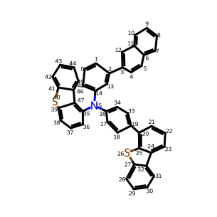 c1cc(-c2ccc3ccccc3c2)cc(N(c2ccc(-c3cccc4c3sc3ccccc34)cc2)c2cccc3sc4ccccc4c23)c1